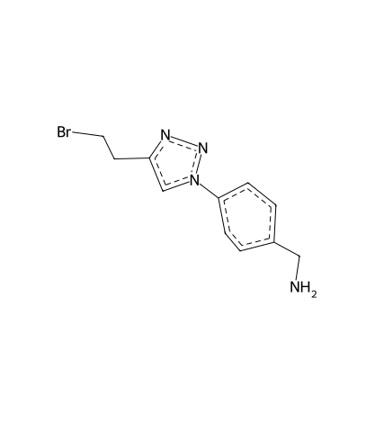 NCc1ccc(-n2cc(CCBr)nn2)cc1